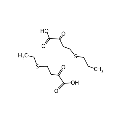 CCCSCCC(=O)C(=O)O.CCSCCC(=O)C(=O)O